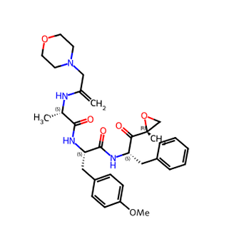 C=C(CN1CCOCC1)N[C@@H](C)C(=O)N[C@@H](Cc1ccc(OC)cc1)C(=O)N[C@@H](Cc1ccccc1)C(=O)[C@@]1(C)CO1